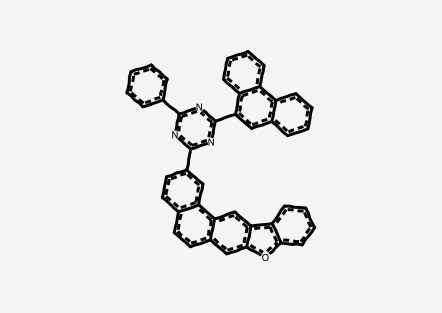 c1ccc(-c2nc(-c3ccc4ccc5cc6oc7ccccc7c6cc5c4c3)nc(-c3cc4ccccc4c4ccccc34)n2)cc1